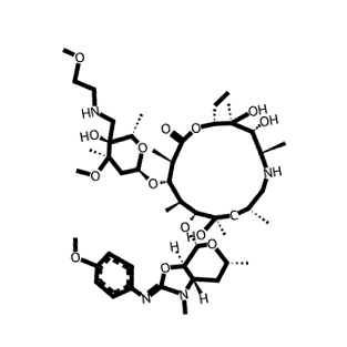 CC[C@H]1OC(=O)[C@H](C)[C@@H](O[C@H]2C[C@@](C)(OC)[C@](O)(CNCCOC)[C@H](C)O2)[C@H](C)[C@@H](O[C@@H]2O[C@H](C)C[C@H]3[C@H]2O/C(=N\c2ccc(OC)cc2)N3C)[C@](C)(O)C[C@@H](C)CN[C@H](C)[C@@H](O)[C@]1(C)O